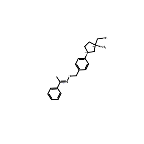 C/C(=N\OCc1ccc([C@H]2CC[C@](N)(CO)C2)cc1)c1ccccc1